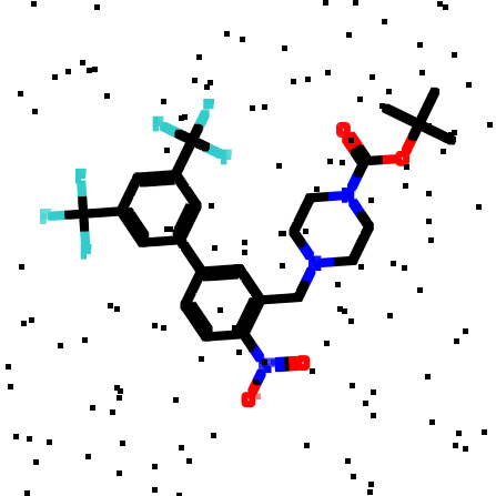 CC(C)(C)OC(=O)N1CCN(Cc2cc(-c3cc(C(F)(F)F)cc(C(F)(F)F)c3)ccc2[N+](=O)[O-])CC1